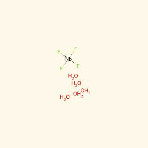 O.O.O.O.O.[F][Nb]([F])([F])[F]